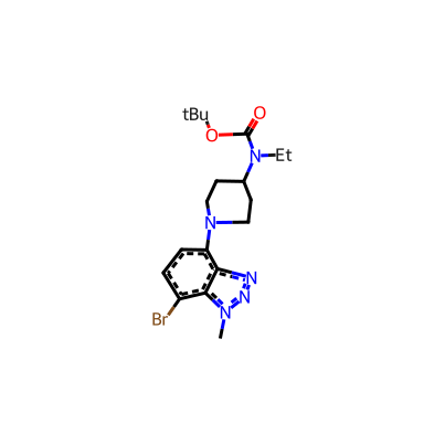 CCN(C(=O)OC(C)(C)C)C1CCN(c2ccc(Br)c3c2nnn3C)CC1